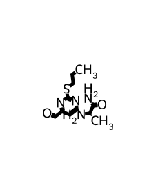 CCCSc1nccc(C=O)n1.C[C@H](N)C(N)=O